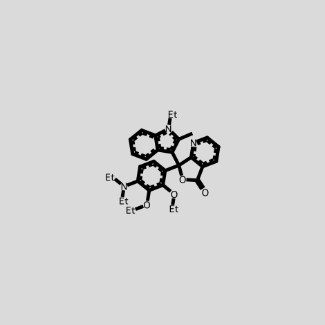 CCOc1c(N(CC)CC)ccc(C2(c3c(C)n(CC)c4ccccc34)OC(=O)c3cccnc32)c1OCC